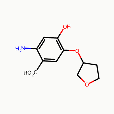 Nc1cc(O)c(OC2CCOC2)cc1C(=O)O